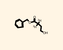 [2H]C([2H])(CCO)C(=O)OCc1ccccc1